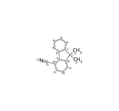 CC1(C)c2ccccc2-c2c(C#N)cccc21